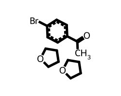 C1CCOC1.C1CCOC1.CC(=O)c1ccc(Br)cc1